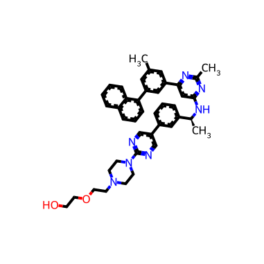 Cc1cc(-c2cc(N[C@@H](C)c3cccc(-c4cnc(N5CCN(CCOCCO)CC5)nc4)c3)nc(C)n2)cc(-c2cccc3ccccc23)c1